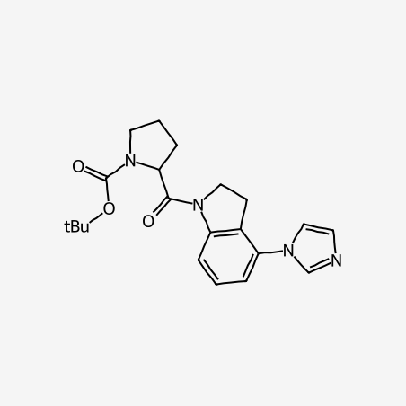 CC(C)(C)OC(=O)N1CCCC1C(=O)N1CCc2c1cccc2-n1ccnc1